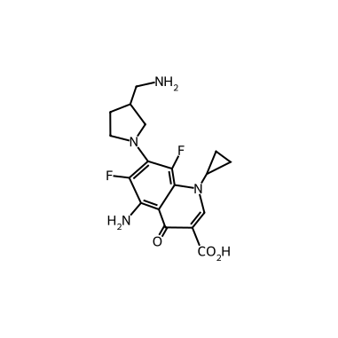 NCC1CCN(c2c(F)c(N)c3c(=O)c(C(=O)O)cn(C4CC4)c3c2F)C1